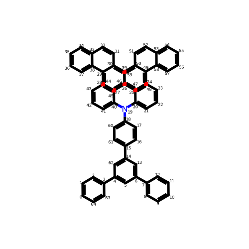 c1ccc(-c2cc(-c3ccccc3)cc(-c3ccc(N(c4ccccc4-c4ccc5c(ccc6ccccc65)c4)c4ccccc4-c4ccc5c(ccc6ccccc65)c4)cc3)c2)cc1